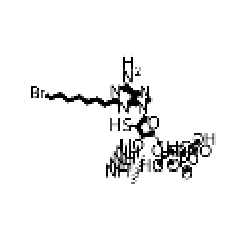 N.N.N.N.Nc1nc(CCCCCCCBr)nc2c1ncn2[C@@H]1O[C@H](COP(=O)(O)OP(=O)(O)OP(=O)(O)O)[C@@H](O)[C@H]1S